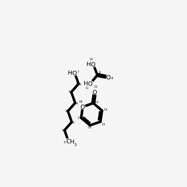 CCCCCCCO.O=C(O)O.O=c1cccco1